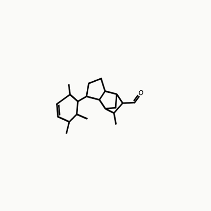 CC1C=CC(C)C(C2CCC3C4CC(C(C)C4C=O)C32)C1C